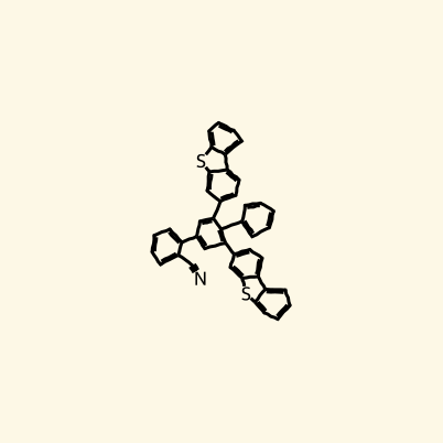 N#Cc1ccccc1-c1cc(-c2ccc3c(c2)sc2ccccc23)c(-c2ccccc2)c(-c2ccc3c(c2)sc2ccccc23)c1